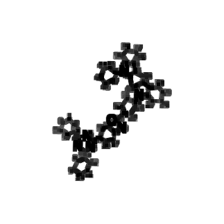 c1ccc(-c2nc(-c3ccccc3)nc(-c3ccc4nc(-c5ccc(-n6c7ccccc7c7cc8c9ccccc9n(-c9ccccc9)c8cc76)cc5)oc4c3)n2)cc1